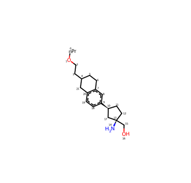 CCCOCCC1CCc2cc([C@H]3CC[C@](N)(CO)C3)ccc2C1